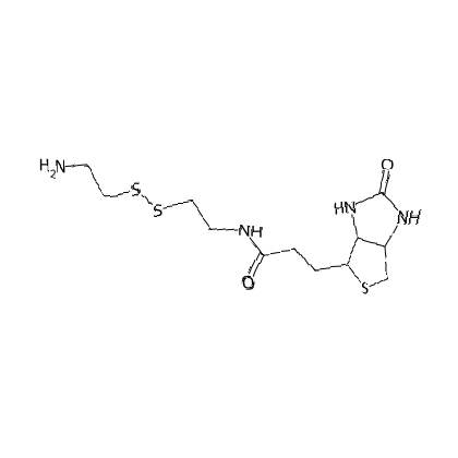 NCCSSCCNC(=O)CCC1SCC2NC(=O)NC21